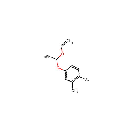 C=COC(CCC)Oc1ccc(C(C)=O)c(C)c1